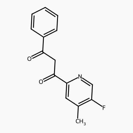 Cc1cc(C(=O)CC(=O)c2ccccc2)ncc1F